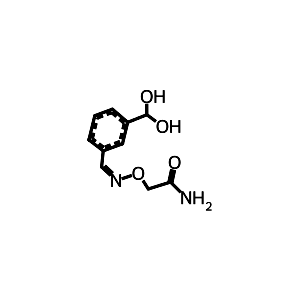 NC(=O)CO/N=C\c1cccc(C(O)O)c1